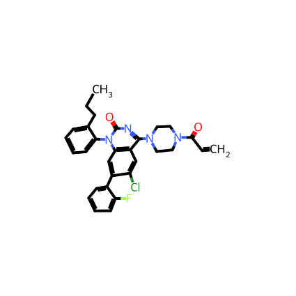 C=CC(=O)N1CCN(c2nc(=O)n(-c3ccccc3CCC)c3cc(-c4ccccc4F)c(Cl)cc23)CC1